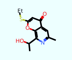 CCSc1cc(=O)c2cc(C)nc(C(C)O)c2o1